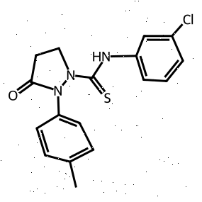 Cc1ccc(N2C(=O)CCN2C(=S)Nc2cccc(Cl)c2)cc1